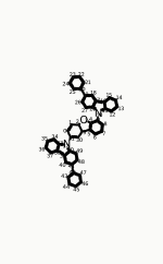 C1=CC2Oc3c(cccc3-n3c4ccccc4c4cc(-c5ccccc5)ccc43)C2C=C1n1c2ccccc2c2cc(-c3ccccc3)ccc21